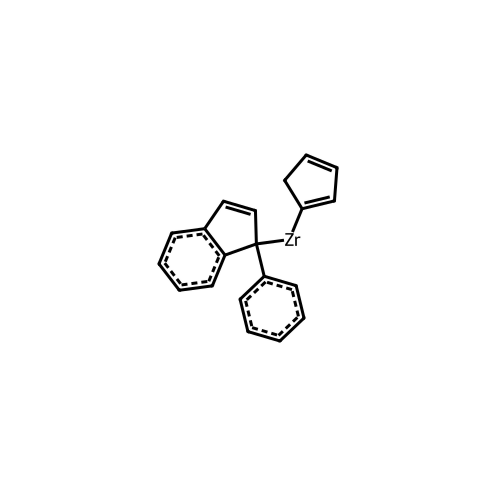 C1=CC[C]([Zr][C]2(c3ccccc3)C=Cc3ccccc32)=C1